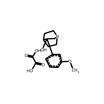 COc1cccc(C2(O)CN3CCC2CC3)c1.O=C(O)C(=O)O